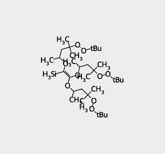 CC(CC(C)(C)OOC(C)(C)C)OC([SiH3])=C(OC(C)CC(C)(C)OOC(C)(C)C)OC(C)CC(C)(C)OOC(C)(C)C